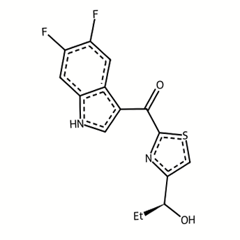 CC[C@H](O)c1csc(C(=O)c2c[nH]c3cc(F)c(F)cc23)n1